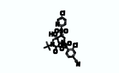 CC(C)(C)N(C[C@]1(O)CN(S(=O)(=O)c2ccc(C#N)cc2Cl)C[C@@H]1S(=O)(=O)c1ccc(Cl)cn1)C(=O)O